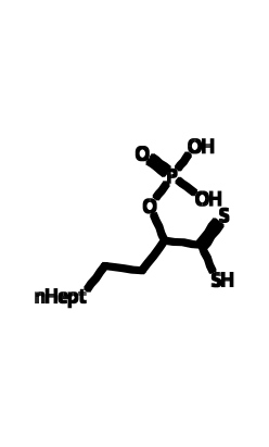 CCCCCCCCCC(OP(=O)(O)O)C(=S)S